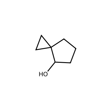 OC1CCCC12CC2